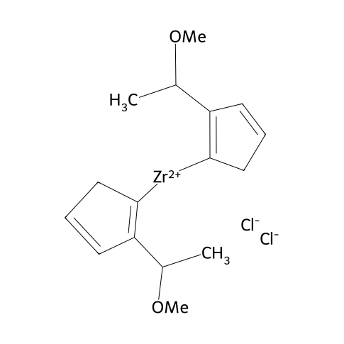 COC(C)C1=[C]([Zr+2][C]2=C(C(C)OC)C=CC2)CC=C1.[Cl-].[Cl-]